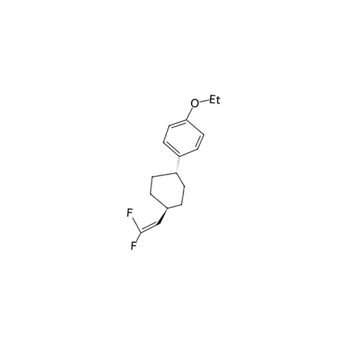 CCOc1ccc([C@H]2CC[C@H](C=C(F)F)CC2)cc1